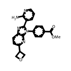 COC(=O)c1ccc(-n2c(-c3cccnc3N)nc3ccc(C4COC4)nc32)cc1